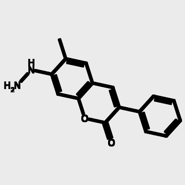 Cc1cc2cc(-c3ccccc3)c(=O)oc2cc1NN